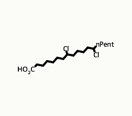 CCCCCC(Cl)CCCCC(Cl)CCCCCCC(=O)O